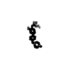 CN1CCN(Cc2ccc(-c3ccc(CC(N)C#N)c(F)c3)cc2)CC1